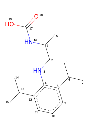 CC(CNc1c(C(C)C)cccc1C(C)C)NC(=O)O